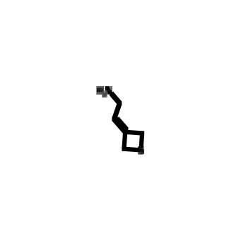 NCC=C1CSC1